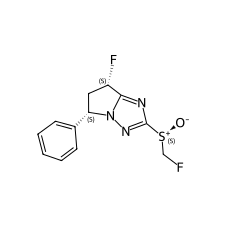 [O-][S@@+](CF)c1nc2n(n1)[C@H](c1ccccc1)C[C@@H]2F